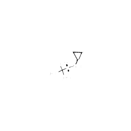 CC(C)C(C)(C)S(=O)(=O)NC1CC1